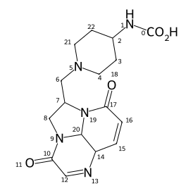 O=C(O)NC1CCN(CC2CN3C(=O)C=NC4C=CC(=O)N2C43)CC1